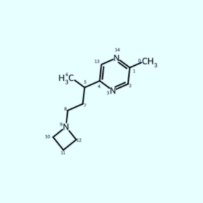 Cc1cnc(C(C)CCN2CCC2)cn1